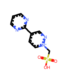 O=S(=O)(O)C[n+]1ccc(-c2ncccn2)cn1